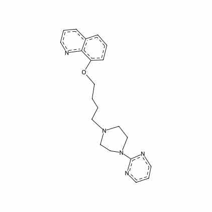 c1cnc(N2CCN(CCCCOc3cccc4cccnc34)CC2)nc1